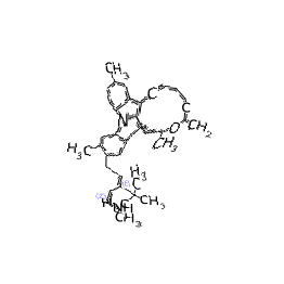 C=c1cccccc2c3cc(C)ccc3n3c4cc(C)c(C/C=C(\C=C/NC)C(C)(C)C)cc4c(cc(C)o1)c23